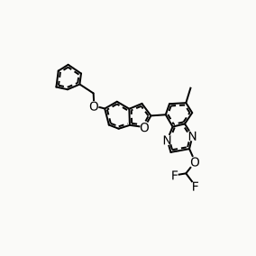 Cc1cc(-c2cc3cc(OCc4ccccc4)ccc3o2)c2ncc(OC(F)F)nc2c1